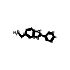 NCc1ccc2oc(-c3ccccc3)nc2c1